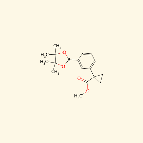 COC(=O)C1(c2cccc(B3OC(C)(C)C(C)(C)O3)c2)CC1